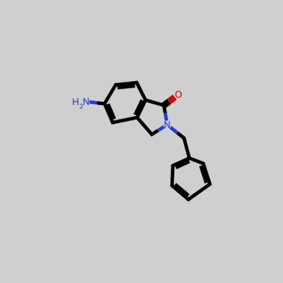 Nc1ccc2c(c1)CN(Cc1ccccc1)C2=O